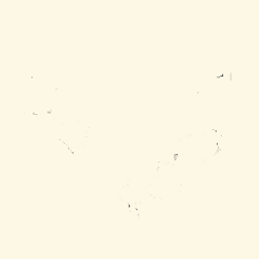 O=C(NO)c1cnc(N2CCc3[nH]c4ccc(-c5cccc(CN6CCNCC6)c5)cc4c3C2)nc1